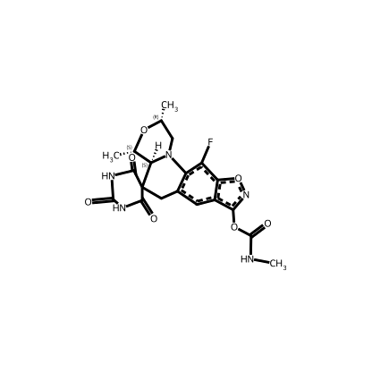 CNC(=O)Oc1noc2c(F)c3c(cc12)CC1(C(=O)NC(=O)NC1=O)[C@H]1[C@H](C)O[C@H](C)CN31